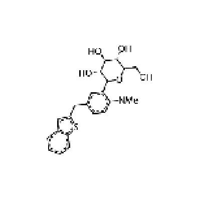 CNc1ccc(Cc2cc3ccccc3s2)cc1[C@@H]1O[C@H](CO)[C@@H](O)[C@H](O)[C@H]1O